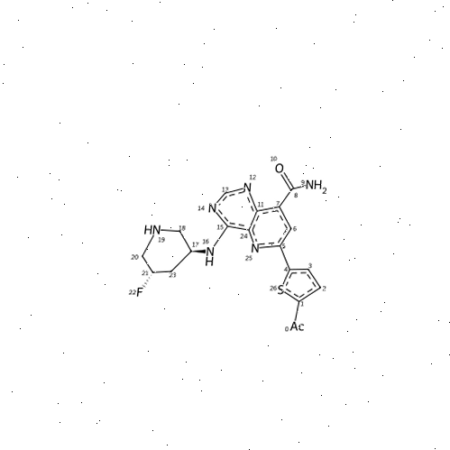 CC(=O)c1ccc(-c2cc(C(N)=O)c3ncnc(N[C@@H]4CNC[C@@H](F)C4)c3n2)s1